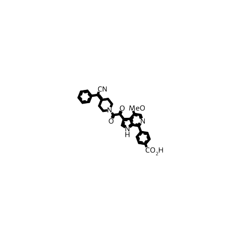 COc1cnc(-c2ccc(C(=O)O)cc2)c2[nH]cc(C(=O)C(=O)N3CCC(=C(C#N)c4ccccc4)CC3)c12